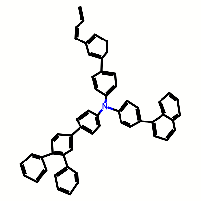 C=C/C=C\C1=CCCC(c2ccc(N(c3ccc(-c4ccc(-c5ccccc5)c(-c5ccccc5)c4)cc3)c3ccc(-c4cccc5ccccc45)cc3)cc2)=C1